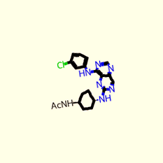 CC(=O)N[C@H]1CC[C@H](Nc2ncc3ncnc(Nc4cccc(Cl)c4)c3n2)CC1